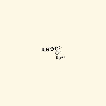 [O-2].[O-2].[O-2].[O-2].[Ru+4].[Ru+4]